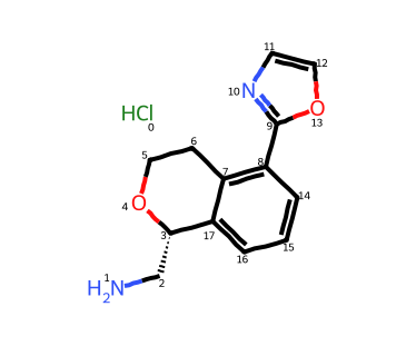 Cl.NC[C@@H]1OCCc2c(-c3ncco3)cccc21